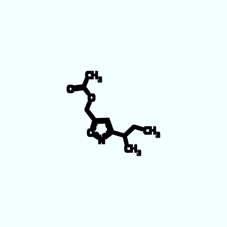 CCC(C)c1cc(COC(C)=O)on1